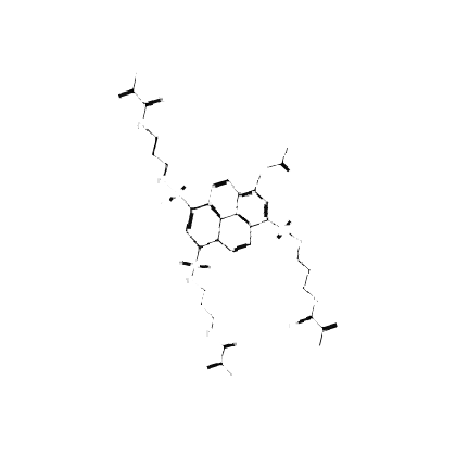 C=C(C)C(=O)NCCCNS(=O)(=O)C1=CC(S(=O)(=O)NCCCNC(=O)C(=C)C)C2C=Cc3c(S(=O)(=O)NCCCNC(=O)C(=C)C)cc(OC(C)=O)c4ccc1c2c34